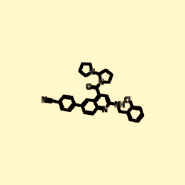 N#Cc1ccc(-c2ccc3nc(NCc4ccccc4Cl)cc(C(=O)N4CCCC4N4CCCC4)c3c2)cc1